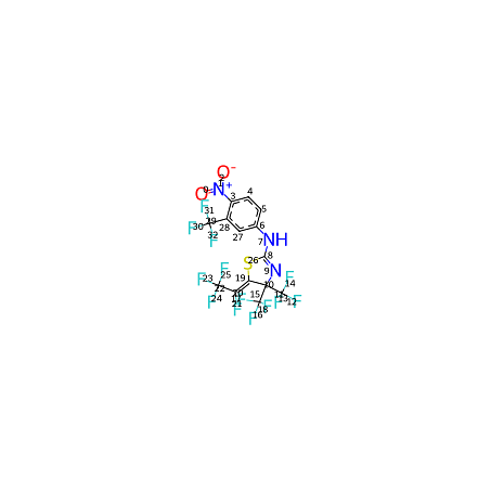 O=[N+]([O-])c1ccc(NC2=NC(C(F)(F)F)(C(F)(F)F)C(=C(F)C(F)(F)F)S2)cc1C(F)(F)F